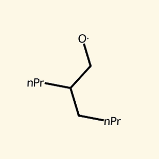 CCCCC(C[O])CCC